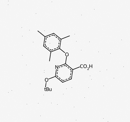 Cc1cc(C)c(Oc2nc(OC(C)(C)C)ccc2C(=O)O)c(C)c1